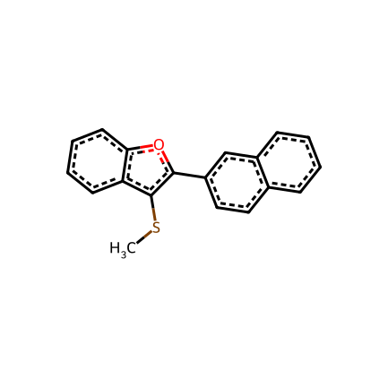 CSc1c(-c2ccc3ccccc3c2)oc2ccccc12